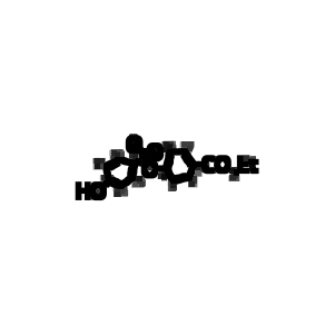 CCOC(=O)c1ccc(OS(=O)(=O)c2ccc(O)cc2)cc1